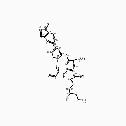 C=CC(=O)Nc1cc(NC2=CC(c3ccc4c(cnn4C)c3)=NCN2)c(OC)cc1N(CCC)CCNC(CC)CCO